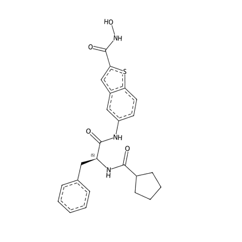 O=C(NO)c1cc2cc(NC(=O)[C@H](Cc3ccccc3)NC(=O)C3CCCC3)ccc2s1